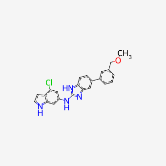 COCc1cccc(-c2ccc3[nH]c(Nc4cc(Cl)c5cc[nH]c5c4)nc3c2)c1